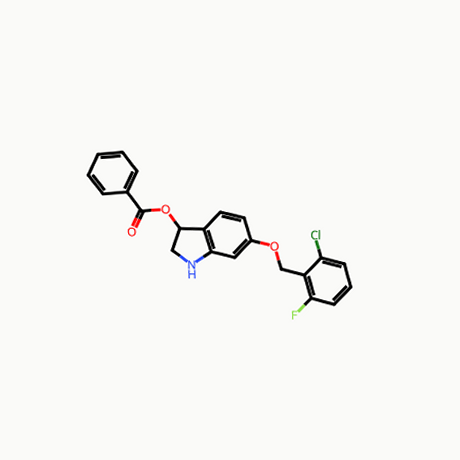 O=C(OC1CNc2cc(OCc3c(F)cccc3Cl)ccc21)c1ccccc1